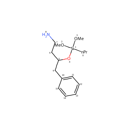 CCC[Si](OC)(OC)OC(CCN)Cc1ccccc1